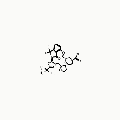 CC(C)(C)c1cn(C[C@H]2CCCO2)c(=NC(=O)c2c(OC[C@@H]3CN(C(=O)O)CCO3)cccc2C(F)(F)F)s1